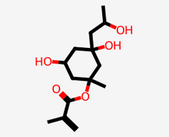 C=C(C)C(=O)OC1(C)CC(O)CC(O)(CC(C)O)C1